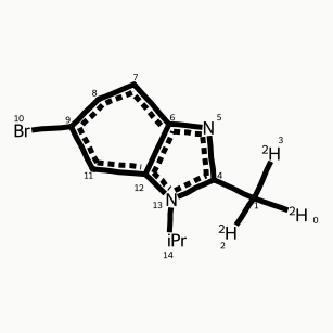 [2H]C([2H])([2H])c1nc2ccc(Br)cc2n1C(C)C